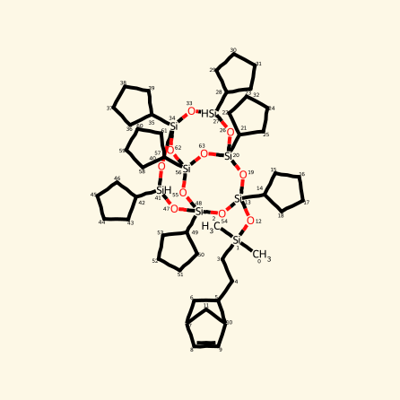 C[Si](C)(CCC1CC2C=CC1C2)O[Si]1(C2CCCC2)O[Si]2(C3CCCC3)O[SiH](C3CCCC3)O[Si]3(C4CCCC4)O[SiH](C4CCCC4)O[Si](C4CCCC4)(O1)O[Si](C1CCCC1)(O3)O2